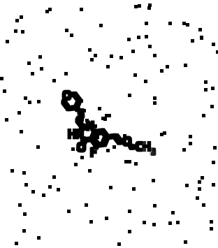 CCOC=Cc1cc(F)c2c(=O)[nH]c(CSC3CCOCC3)nc2c1